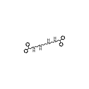 c1ccc(C(CCNCCCNCCCCNCCCNCCC(c2ccccc2)c2ccccc2)c2ccccc2)cc1